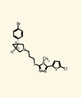 Cn1c(SCCCN2C[C@@H]3C[C@@]3(c3ccc(Br)cc3)C2)nnc1-c1ccc(Cl)s1